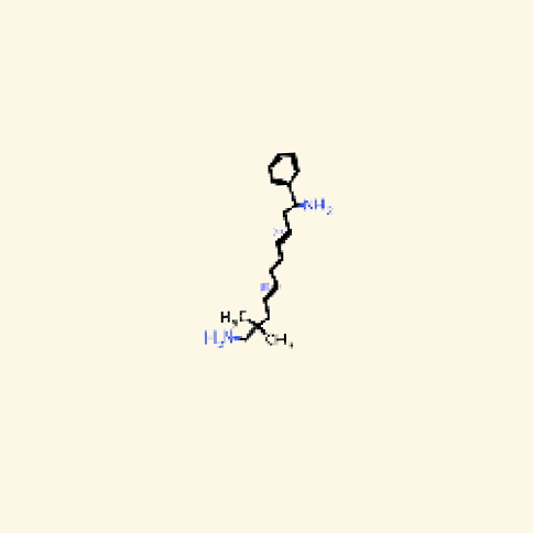 CC(C)(CN)C/C=C/CC/C=C/CC(N)c1ccccc1